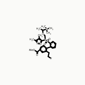 COC(=O)c1ccc(-c2ccccc2S(=O)(=O)N(COC(C)[Si](C)(C)C)c2onc(C)c2C)c(CCF)c1